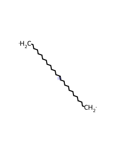 [CH2]CCCCCCCCCC/C=C/CCCCCCCCCCCC[CH2]